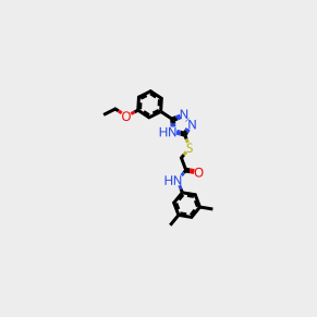 CCOc1cccc(-c2nnc(SCC(=O)Nc3cc(C)cc(C)c3)[nH]2)c1